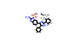 CC(C)S(=O)(=O)n1c(N)nc2ccc(-c3nc(-c4c(F)cccc4C(F)(F)F)[nH]c3-c3ccccc3)cc21.CS(=O)(=O)O